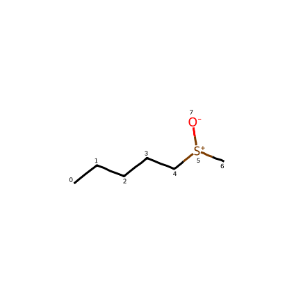 CCCCC[S+](C)[O-]